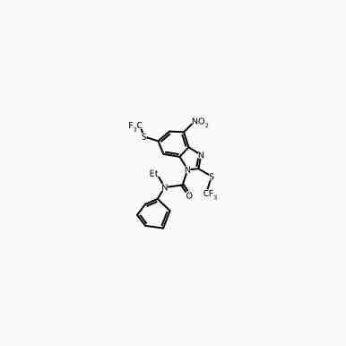 CCN(C(=O)n1c(SC(F)(F)F)nc2c([N+](=O)[O-])cc(SC(F)(F)F)cc21)c1ccccc1